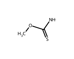 COC([NH])=S